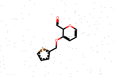 O=[C]C1OC=CC=C1OCc1cccs1